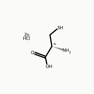 Cl.N[C@@H](CS)C(=O)O.[Zn]